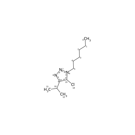 CCCCCCn1nnc(C(C)C)c1Cl